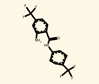 Nc1cc(C(F)(F)F)ccc1C(=O)Nc1ccc(C(F)(F)F)cc1